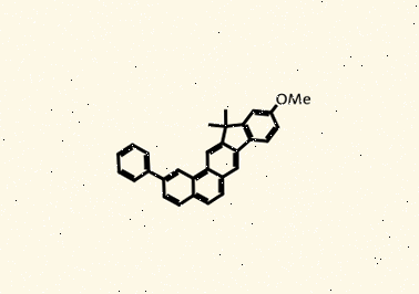 COc1ccc2c(c1)C(C)(C)c1cc3c(ccc4ccc(-c5ccccc5)cc43)cc1-2